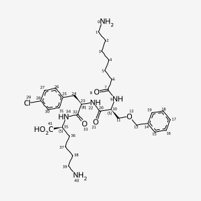 NCCCCCCC(=O)N[C@@H](COCc1ccccc1)C(=O)N[C@H](Cc1ccc(Cl)cc1)C(=O)N[C@@H](CCCCN)C(=O)O